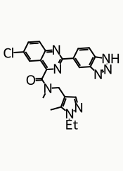 CCn1ncc(CN(C)C(=O)c2nc(-c3ccc4[nH]nnc4c3)nc3ccc(Cl)cc23)c1C